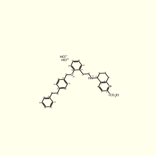 CCOC(=O)c1ccc2c(n1)CCCC2NCCc1ccccc1OCc1ccc(CCc2ccccc2)cc1.Cl.Cl